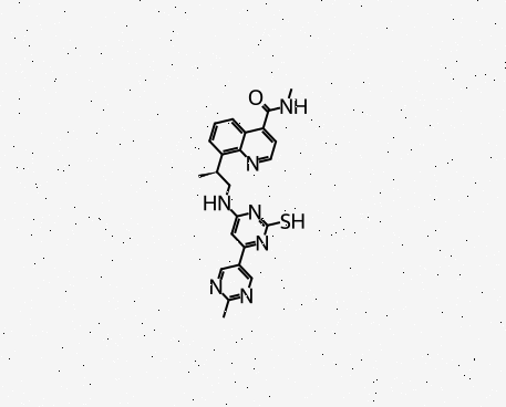 CNC(=O)c1ccnc2c([C@H](C)CNc3cc(-c4cnc(C)nc4)nc(S)n3)cccc12